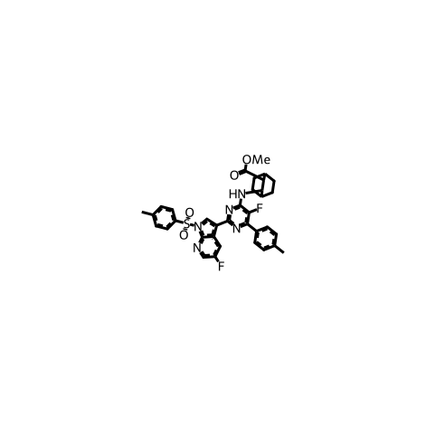 COC(=O)C1C2CCC(CC2)C1Nc1nc(-c2cn(S(=O)(=O)c3ccc(C)cc3)c3ncc(F)cc23)nc(-c2ccc(C)cc2)c1F